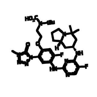 Cn1nnn(-c2cc(Nc3ncc(F)c(N[C@@H]4C[C@@H]5CCCN5C(C)(C)C4)n3)c(F)cc2OCCN(C(=O)O)C(C)(C)C)c1=O